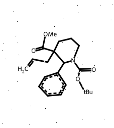 C=CCC1(C(=O)OC)CCCN(C(=O)OC(C)(C)C)C1c1ccccc1